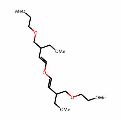 COCCOCC(C=COC=CC(COC)COCCOC)COC